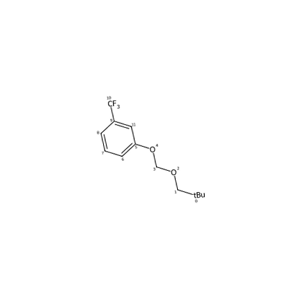 CC(C)(C)COCOc1cccc(C(F)(F)F)c1